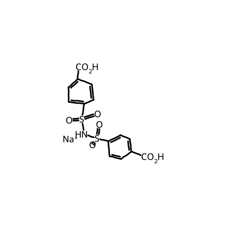 O=C(O)c1ccc(S(=O)(=O)NS(=O)(=O)c2ccc(C(=O)O)cc2)cc1.[Na+]